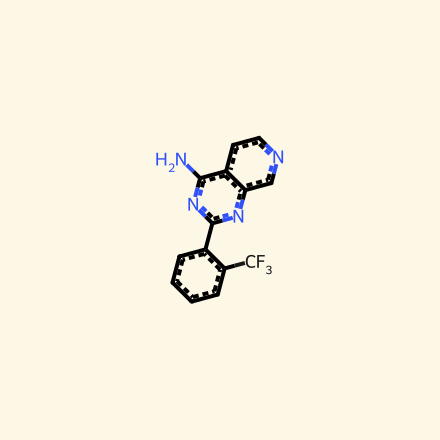 Nc1nc(-c2ccccc2C(F)(F)F)nc2cnccc12